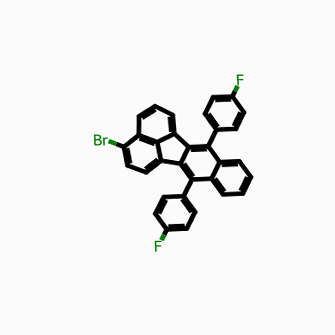 Fc1ccc(-c2c3c(c(-c4ccc(F)cc4)c4ccccc24)-c2ccc(Br)c4cccc-3c24)cc1